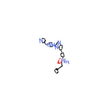 O=C(Cc1ccccc1)Nc1ccc(-c2ccc3ncc(N4CCN(Cc5cccnc5)CC4)nc3c2)cc1